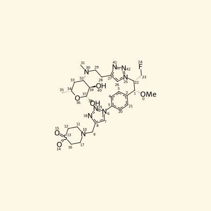 CO[C@H](c1ccc(-n2cc(CN3CCS(=O)(=O)CC3)nn2)cc1)[C@@H](CF)n1cc(CCN(C)[C@H]2C[C@@H](C)O[C@@H](O)[C@@H]2O)nn1